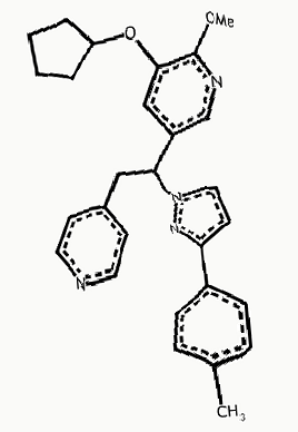 COc1ncc(C(Cc2ccncc2)n2ccc(-c3ccc(C)cc3)n2)cc1OC1CCCC1